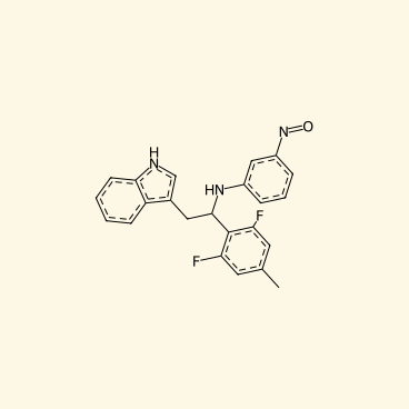 Cc1cc(F)c(C(Cc2c[nH]c3ccccc23)Nc2cccc(N=O)c2)c(F)c1